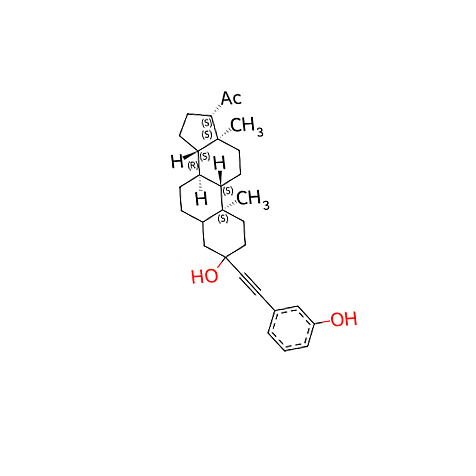 CC(=O)[C@H]1CC[C@H]2[C@@H]3CCC4CC(O)(C#Cc5cccc(O)c5)CC[C@]4(C)[C@H]3CC[C@]12C